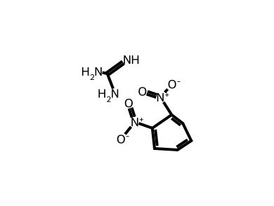 N=C(N)N.O=[N+]([O-])c1ccccc1[N+](=O)[O-]